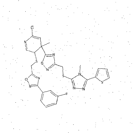 Cn1c(SCc2noc(C3(C)C=C(Cl)N=CC3SCc3nc(-c4cccc(F)c4)no3)n2)nnc1-c1cccs1